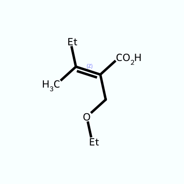 CCOC/C(C(=O)O)=C(\C)CC